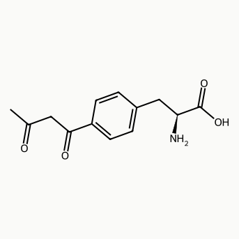 CC(=O)CC(=O)c1ccc(C[C@H](N)C(=O)O)cc1